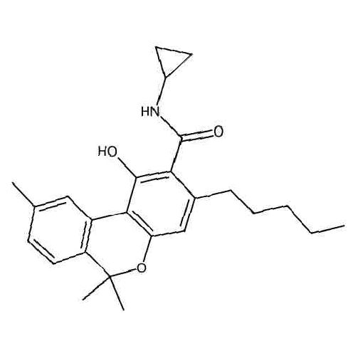 CCCCCc1cc2c(c(O)c1C(=O)NC1CC1)-c1cc(C)ccc1C(C)(C)O2